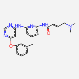 Cc1cccc(Oc2cc(Nc3cccc(NC(=O)C=CCN(C)C)n3)ncn2)c1